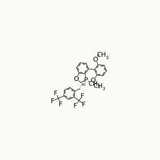 COc1cccc(OC)c1-c1cccc2c1P(C)[C@H](Cc1ccc(C(F)(F)F)cc1C(F)(F)F)O2